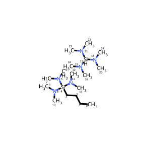 CCCC[Si](N(C)C)(N(C)C)N(C)C.CN(C)[SiH](N(C)C)N(C)C